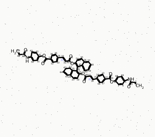 C=CC(=O)Nc1ccc(OC(=O)c2ccc(/C=C/C(=O)Oc3ccc4c(c3-c3c(OC(=O)/C=C/c5ccc(C(=O)Oc6ccc(NC(=O)C=C)cc6)cc5)ccc5ccccc35)CCC=C4)cc2)cc1